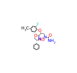 Cc1ccc(OC(CN(O)C(N)=O)C2=N[C@H](c3ccccc3)CO2)c(F)c1